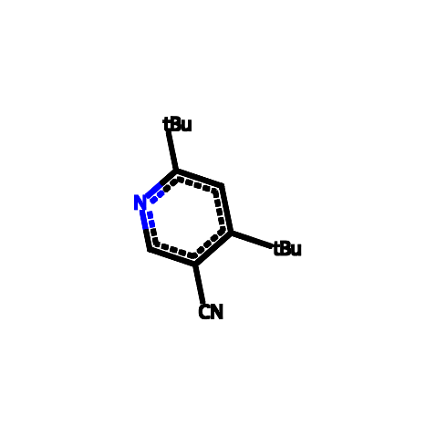 CC(C)(C)c1cc(C(C)(C)C)c(C#N)cn1